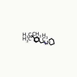 C/C(=C\N1CCCCC1)Cc1ccc(C(C)(C)C)cc1